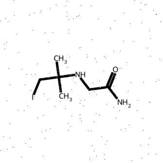 CC(C)(CI)NCC(N)=O